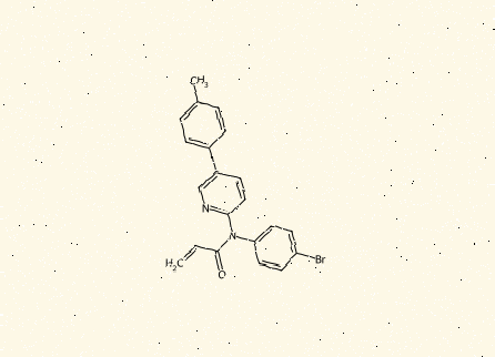 C=CC(=O)N(c1ccc(Br)cc1)c1ccc(-c2ccc(C)cc2)cn1